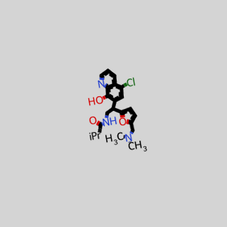 CC(C)C(=O)NCC(c1ccc(CN(C)C)o1)c1cc(Cl)c2cccnc2c1O